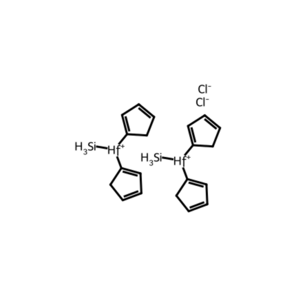 [Cl-].[Cl-].[SiH3][Hf+]([C]1=CC=CC1)[C]1=CC=CC1.[SiH3][Hf+]([C]1=CC=CC1)[C]1=CC=CC1